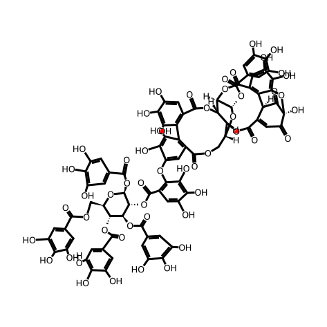 O=C1O[C@H]2[C@@H]3OC(=O)c4cc(O)c(O)c(O)c4-c4c(cc(Oc5c(C(=O)O[C@H]6[C@H](OC(=O)c7cc(O)c(O)c(O)c7)O[C@H](COC(=O)c7cc(O)c(O)c(O)c7)[C@@H](OC(=O)c7cc(O)c(O)c(O)c7)[C@@H]6OC(=O)c6cc(O)c(O)c(O)c6)cc(O)c(O)c5O)c(O)c4O)C(=O)OC[C@H]2O[C@@H](OC(=O)c2cc(O)c(O)c(O)c2)[C@@H]3OC(=O)c2cc(O)c(O)c3c2[C@H]2C(=O)[C@@](O)(O3)C(=O)C=C12